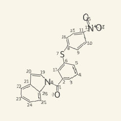 O=C(c1cccc(Sc2ccc([N+](=O)[O-])cc2)c1)n1ccc2ccccc21